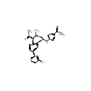 CC(=O)c1ccc(N[C@@H]2C[C@H](C)N(C(C)=O)c3ccc(-c4cccc(C)c4)cc32)cc1